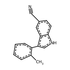 Cc1ccccc1-c1c[nH]c2ccc(C#N)cc12